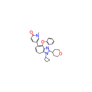 Cn1cc(C2=C(Oc3ccccc3)c3nc(C4CCOCC4)n(C4CCC4)c3CC=C2)ccc1=O